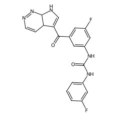 O=C(Nc1cccc(F)c1)Nc1cc(F)cc(C(=O)C2=CNC3N=NC=CC23)c1